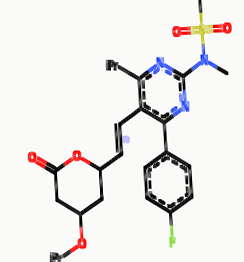 CC(C)OC1CC(=O)OC(/C=C/c2c(-c3ccc(F)cc3)nc(N(C)S(C)(=O)=O)nc2C(C)C)C1